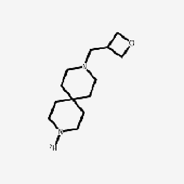 [2H]N1CCC2(CC1)CCN(CC1COC1)CC2